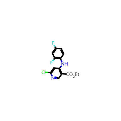 CCOC(=O)c1cnc(Cl)cc1Nc1ccc(F)cc1F